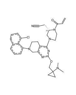 C=CC(=O)N1CCN(c2nc(OCC3(N(C)C)CC3)nc3c2CCN(c2cccc4cccc(Cl)c24)C3)C[C@@H]1CC#N